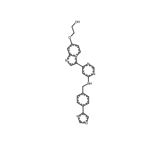 OCCOc1ccn2c(-c3cc(NCc4ccc(-c5cocn5)cc4)ncn3)cnc2c1